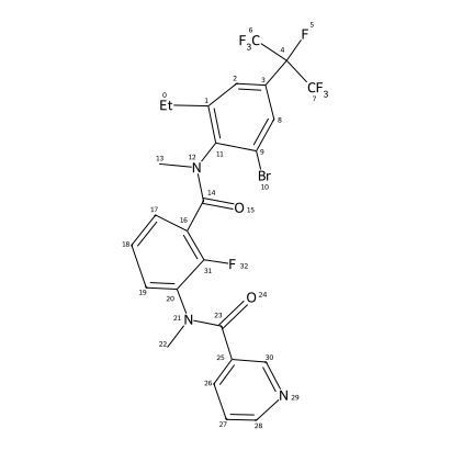 CCc1cc(C(F)(C(F)(F)F)C(F)(F)F)cc(Br)c1N(C)C(=O)c1cccc(N(C)C(=O)c2cccnc2)c1F